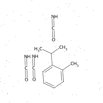 Cc1ccccc1C(C)C.N=C=O.N=C=O.N=C=O